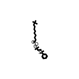 CC(C)(C)CCCCCCCCC(=O)OOC(C)(C)CC[Si](C)(C)c1ccccc1